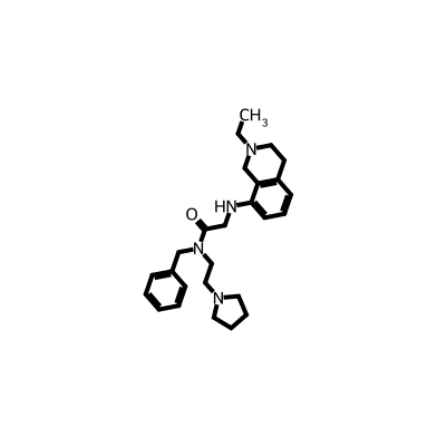 CCN1CCc2cccc(NCC(=O)N(CCN3CCCC3)Cc3ccccc3)c2C1